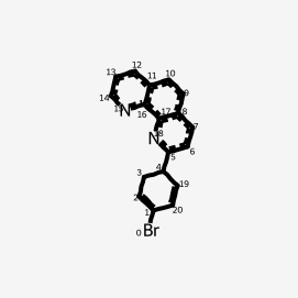 BrC1=CCC(c2ccc3ccc4cccnc4c3n2)C=C1